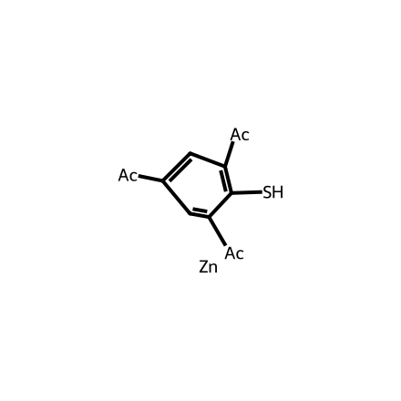 CC(=O)c1cc(C(C)=O)c(S)c(C(C)=O)c1.[Zn]